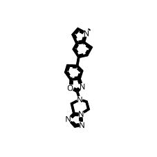 Cn1ccc2cc(-c3ccc4oc(N5CCn6ncnc6C5)nc4c3)ccc21